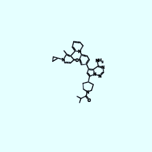 Cc1c(C2=CC=CCN2c2ccc(-c3cc(C4CCN(C(=O)C(C)C)CC4)n4ncnc(N)c34)cc2)c(=O)ccn1C1CC1